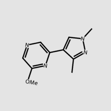 COc1cncc(-c2cn(C)nc2C)n1